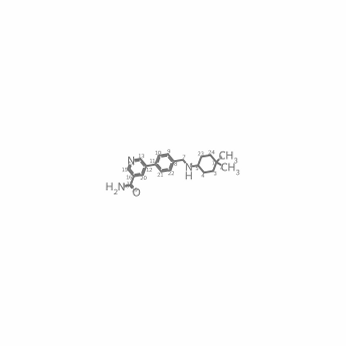 CC1(C)CCC(NCc2ccc(-c3cncc(C(N)=O)c3)cc2)CC1